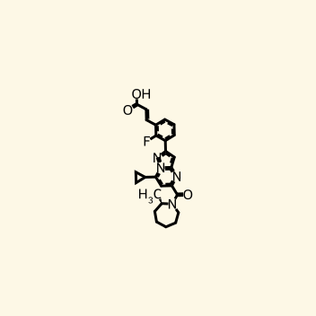 C[C@@H]1CCCCCN1C(=O)c1cc(C2CC2)n2nc(-c3cccc(/C=C/C(=O)O)c3F)cc2n1